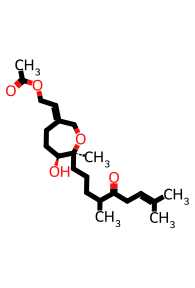 CC(=O)OC/C=C1\CC[C@H](O)[C@](C)(CCCC(C)C(=O)CC=C(C)C)OC1